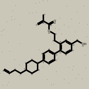 C=CCCC1CCC(c2ccc(-c3ccc(CO)cc3CCOC(=O)C(=C)C)cc2)CC1